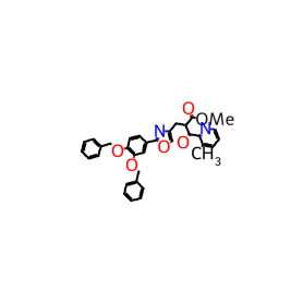 COC(=O)C(Cc1coc(-c2ccc(OCc3ccccc3)c(OCc3ccccc3)c2)n1)C(=O)c1ncccc1C